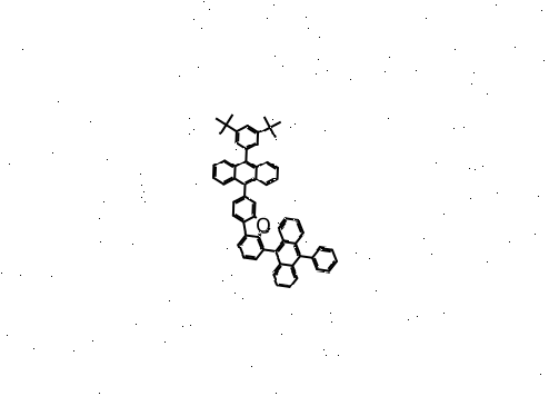 CC(C)(C)c1cc(-c2c3ccccc3c(-c3ccc4c(c3)oc3c(-c5c6ccccc6c(-c6ccccc6)c6ccccc56)cccc34)c3ccccc23)cc(C(C)(C)C)c1